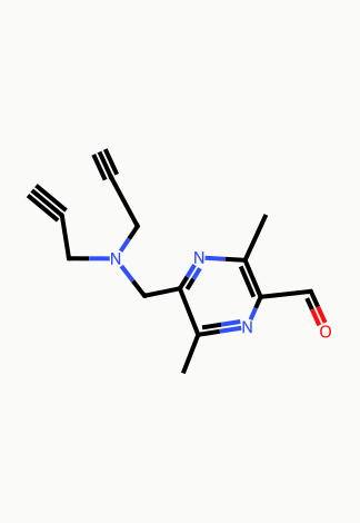 C#CCN(CC#C)Cc1nc(C)c(C=O)nc1C